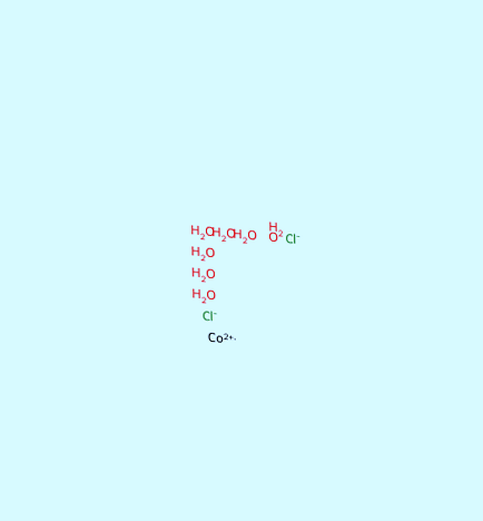 O.O.O.O.O.O.O.[Cl-].[Cl-].[Co+2]